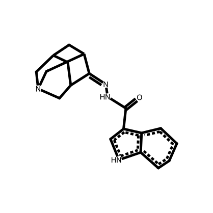 O=C(NN=C1C2CC3CC1CN(C3)C2)c1c[nH]c2ccccc12